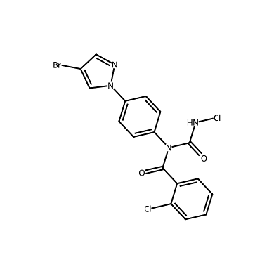 O=C(NCl)N(C(=O)c1ccccc1Cl)c1ccc(-n2cc(Br)cn2)cc1